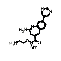 CCCN(OCCN)C(=O)C1=Cc2ccc(-c3cncnc3)cc2N=C(N)C1